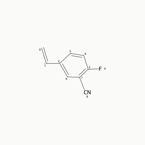 C=[C]c1ccc(F)c(C#N)c1